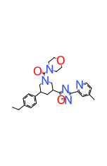 CCc1ccc(C2CC(c3nc(-c4cc(C)ccn4)no3)CN(C(=O)N3CCOCC3)C2)cc1